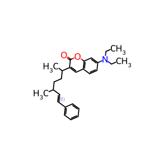 CCN(CC)c1ccc2cc(C(C)CCC(C)/C=C/c3ccccc3)c(=O)oc2c1